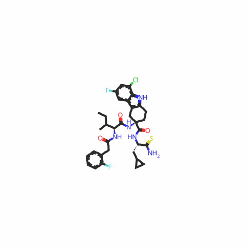 CCC(C)[C@H](NC(=O)Cc1ccccc1F)C(=O)N[C@]1(C(=O)N[C@@H](CC2CC2)C(N)=S)CCc2[nH]c3c(Cl)cc(F)cc3c2C1